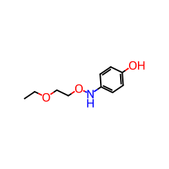 CCOCCONc1ccc(O)cc1